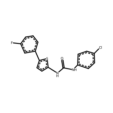 O=C(Nc1ccc(Cl)cc1)Nc1ccc(-c2cccc(F)c2)s1